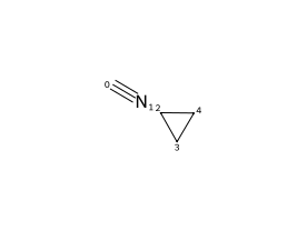 C#N.C1CC1